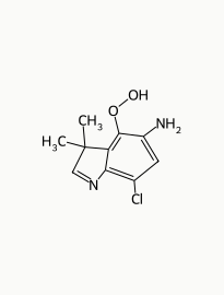 CC1(C)C=Nc2c(Cl)cc(N)c(OO)c21